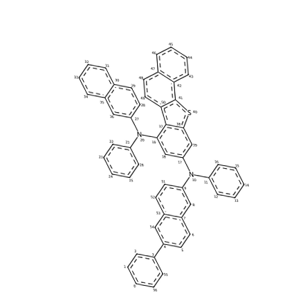 c1ccc(-c2ccc3cc(N(c4ccccc4)c4cc(N(c5ccccc5)c5ccc6ccccc6c5)c5c(c4)sc4c6ccccc6ccc45)ccc3c2)cc1